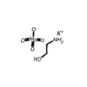 NCCO.[K+].[O]=[Mn](=[O])(=[O])[O-]